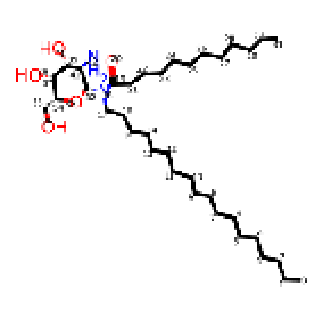 CCCCCCCCCCCCCCCCCCN(C(=O)CCCCCCCCCCC)[C@@H]1O[C@H](CO)[C@H](O)[C@H](O)[C@H]1N